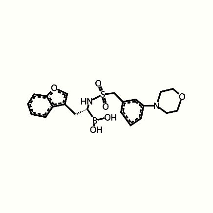 O=S(=O)(Cc1cccc(N2CCOCC2)c1)N[C@@H](Cc1coc2ccccc12)B(O)O